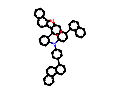 c1ccc(N(c2ccc(-c3cccc4ccccc34)cc2)c2ccc(-c3cccc4c3ccc3ccccc34)cc2)c(-c2cccc3oc4c5ccccc5ccc4c23)c1